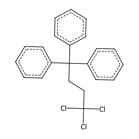 ClC(Cl)(Cl)CCC(c1ccccc1)(c1ccccc1)c1ccccc1